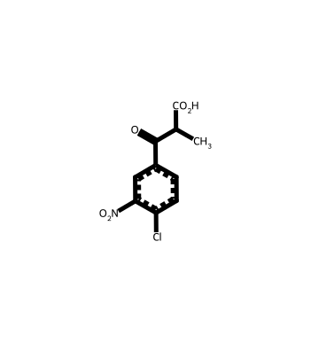 CC(C(=O)O)C(=O)c1ccc(Cl)c([N+](=O)[O-])c1